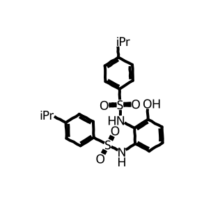 CC(C)c1ccc(S(=O)(=O)Nc2cccc(O)c2NS(=O)(=O)c2ccc(C(C)C)cc2)cc1